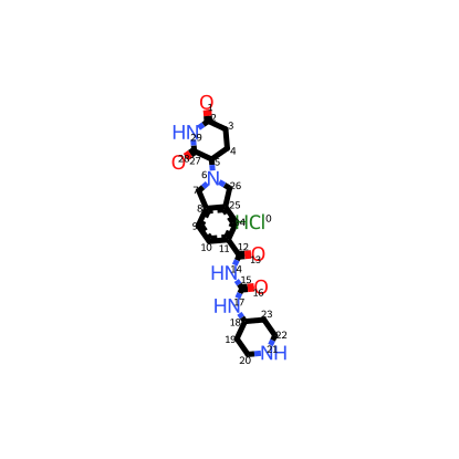 Cl.O=C1CCC(N2Cc3ccc(C(=O)NC(=O)NC4CCNCC4)cc3C2)C(=O)N1